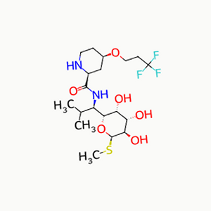 CS[C@H]1O[C@H]([C@H](NC(=O)[C@@H]2C[C@H](OCCC(F)(F)F)CCN2)C(C)C)[C@H](O)[C@H](O)[C@H]1O